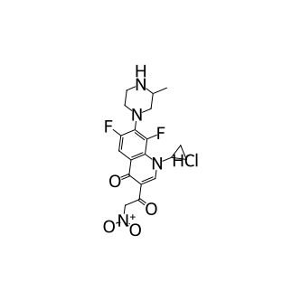 CC1CN(c2c(F)cc3c(=O)c(C(=O)C[N+](=O)[O-])cn(C4CC4)c3c2F)CCN1.Cl